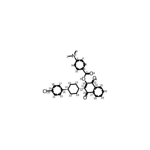 CN(C)c1ccc(C(=O)OC2=C([C@H]3CC[C@H](c4ccc(Cl)cc4)CC3)C(=O)c3ccccc3C2=O)cc1